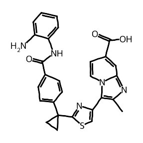 Cc1nc2cc(C(=O)O)ccn2c1-c1csc(C2(c3ccc(C(=O)Nc4ccccc4N)cc3)CC2)n1